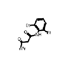 CCCC(=O)CC(=O)Nc1c(CC)cccc1CC